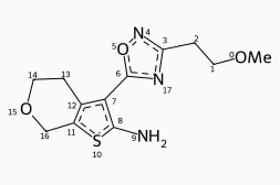 COCCc1noc(-c2c(N)sc3c2CCOC3)n1